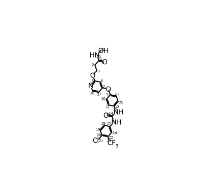 O=C(CCOc1cc(Oc2ccc(NC(=O)Nc3ccc(Cl)c(C(F)(F)F)c3)cc2)ccn1)NO